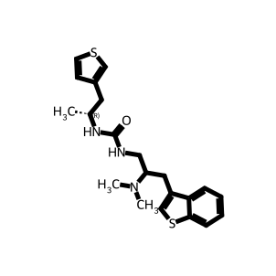 C[C@H](Cc1ccsc1)NC(=O)NCC(Cc1csc2ccccc12)N(C)C